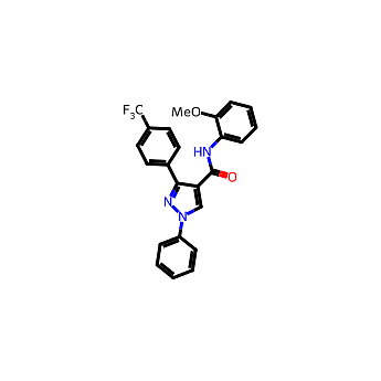 COc1ccccc1NC(=O)c1cn(-c2ccccc2)nc1-c1ccc(C(F)(F)F)cc1